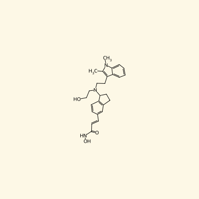 Cc1c(CCN(CCO)C2CCc3cc(/C=C/C(=O)NO)ccc32)c2ccccc2n1C